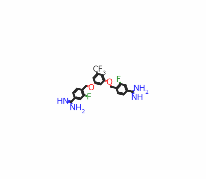 N=C(N)c1ccc(COc2cc(OCc3ccc(C(=N)N)cc3F)cc(C(F)(F)F)c2)c(F)c1